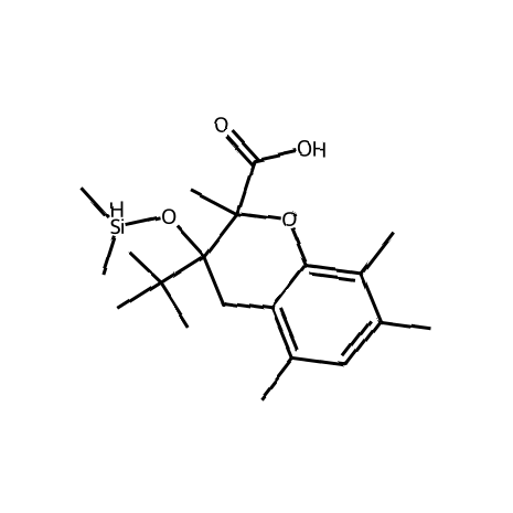 Cc1cc(C)c2c(c1C)OC(C)(C(=O)O)C(O[SiH](C)C)(C(C)(C)C)C2